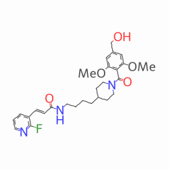 COc1cc(CO)cc(OC)c1C(=O)N1CCC(CCCCNC(=O)/C=C/c2cccnc2F)CC1